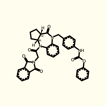 O=C(Nc1ccc(CN2C(=O)[C@H]3CCC[C@H]3N(C(=O)CN3C(=O)c4ccccc4C3=O)c3ccccc32)cc1)Oc1ccccc1